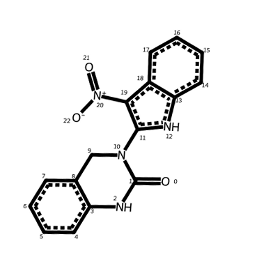 O=C1Nc2ccccc2CN1c1[nH]c2ccccc2c1[N+](=O)[O-]